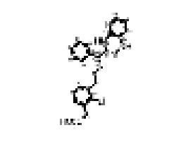 O=C(O)Cc1cccc(CCN[C@H](c2ccccc2)[C@H]2CNc3cccnc3N2)c1Cl